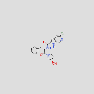 O=C(N[C@@H](Cc1ccccc1)C(=O)N1CC[C@@H](O)C1)c1cc2cc(Cl)ncc2[nH]1